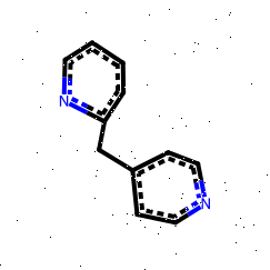 [c]1cc(Cc2ccccn2)ccn1